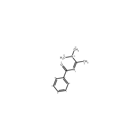 CC(=NC(=O)c1ccccc1)N(C)C